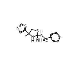 CC(=O)NC1(NCc2ccccc2)NC(C)(c2cncs2)CS1